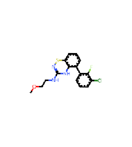 COCCNC1=NSc2cccc(-c3cccc(Cl)c3F)c2N1